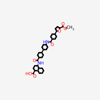 COC(=O)c1ccc(-c2ccc(C(=O)Nc3ccc(-c4ccc(C(=O)Nc5ccc(C(=O)O)c6ccccc56)cc4)cc3)cc2)o1